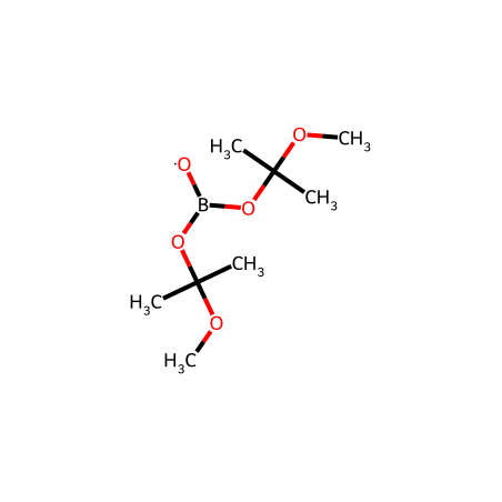 COC(C)(C)OB([O])OC(C)(C)OC